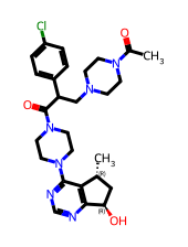 CC(=O)N1CCN(CC(C(=O)N2CCN(c3ncnc4c3[C@H](C)C[C@H]4O)CC2)c2ccc(Cl)cc2)CC1